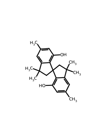 Cc1cc(O)c2c(c1)C(C)(C)CC21CC(C)(C)c2cc(C)cc(O)c21